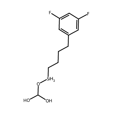 OC(O)O[SiH2]CCCCc1cc(F)cc(F)c1